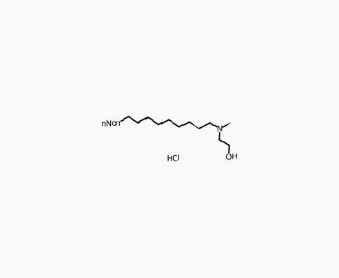 CCCCCCCCCCCCCCCCCCN(C)CCO.Cl